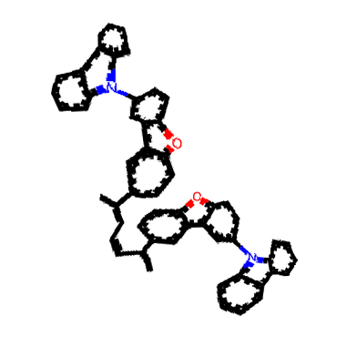 C=C(/C=C\C=C(/C)c1ccc2oc3ccc(-n4c5ccccc5c5ccccc54)cc3c2c1)c1ccc2oc3ccc(-n4c5ccccc5c5ccccc54)cc3c2c1